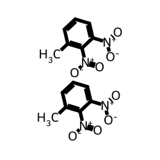 Cc1cccc([N+](=O)[O-])c1[N+](=O)[O-].Cc1cccc([N+](=O)[O-])c1[N+](=O)[O-]